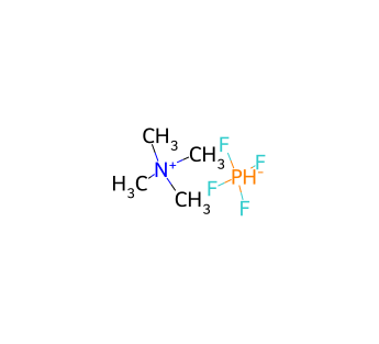 C[N+](C)(C)C.F[PH-](F)(F)F